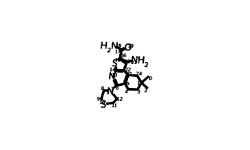 CC1(C)CCc2c(N3CCSCC3)nc3sc(C(N)=O)c(N)c3c2C1